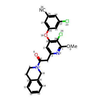 COc1nc(CC(=O)N2CCc3ccccc3C2)cc(Oc2cc(Cl)cc(C#N)c2)c1Cl